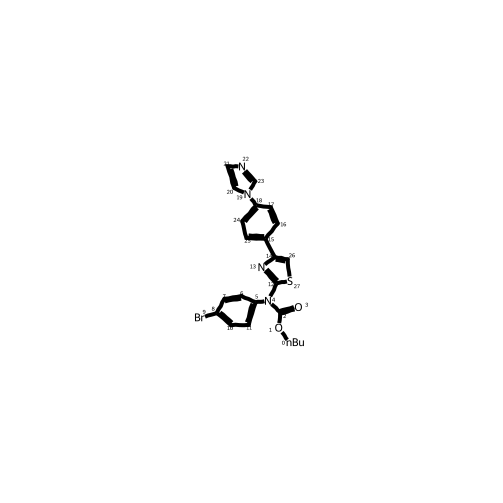 CCCCOC(=O)N(c1ccc(Br)cc1)c1nc(-c2ccc(-n3ccnc3)cc2)cs1